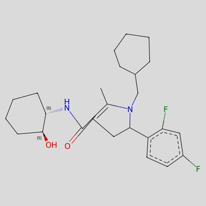 CC1=C(C(=O)N[C@H]2CCCC[C@@H]2O)CC(c2ccc(F)cc2F)N1CC1CCCCC1